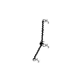 CCCCCCCCCCCCCCCCCCC[n+]1ccn(CCCCCCCCCCCCCCC)c1CC